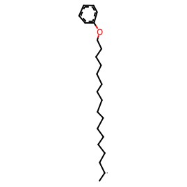 C[CH]CCCCCCCCCCCCCCCOc1ccccc1